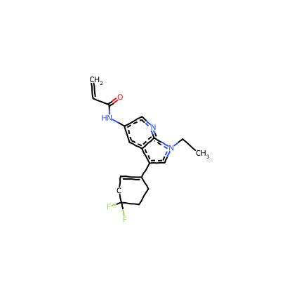 C=CC(=O)Nc1cnc2c(c1)c(C1=CCC(F)(F)CC1)cn2CC